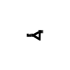 C1CN1.[NaH]